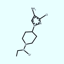 CC[S+]([O-])N1CCC(n2cc(N)c(Cl)n2)CC1